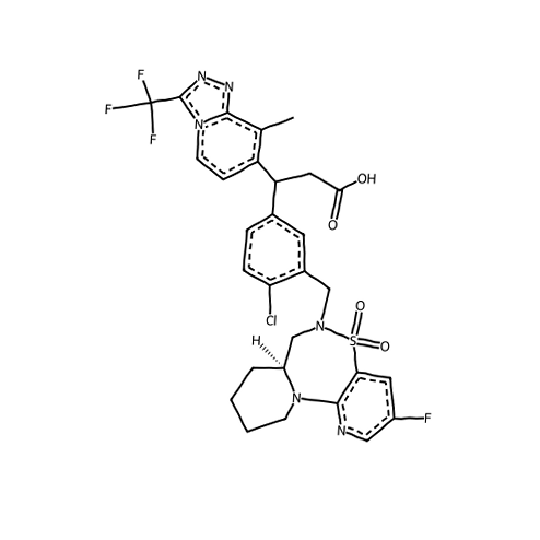 Cc1c(C(CC(=O)O)c2ccc(Cl)c(CN3C[C@@H]4CCCCN4c4ncc(F)cc4S3(=O)=O)c2)ccn2c(C(F)(F)F)nnc12